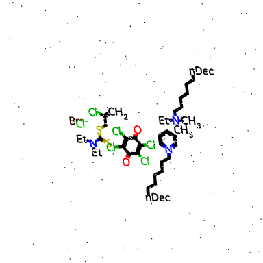 C=C(Cl)CSC(=S)N(CC)CC.CCCCCCCCCCCCCCCC[N+](C)(C)CC.CCCCCCCCCCCCCCCC[n+]1ccccc1.O=C1C(Cl)=C(Cl)C(=O)C(Cl)=C1Cl.[Br-].[Cl-]